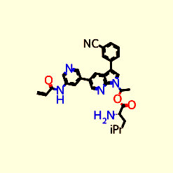 C=CC(=O)Nc1cncc(-c2cnc3c(c2)c(-c2cccc(C#N)c2)cn3C(C)OC(=O)[C@@H](N)CC(C)C)c1